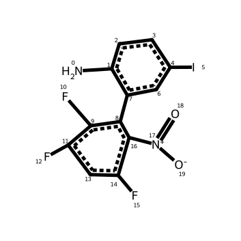 Nc1ccc(I)cc1-c1c(F)c(F)cc(F)c1[N+](=O)[O-]